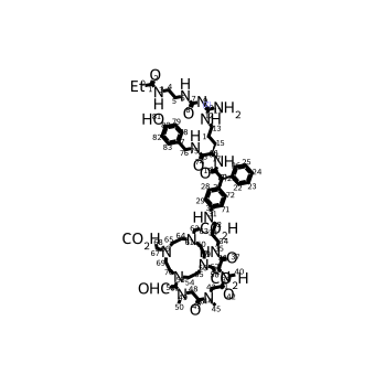 CCC(=O)NCCNC(=O)/N=C(/N)NCCC[C@@H](NC(=O)[C@@H](c1ccccc1)c1ccc(NCCCNC(=O)CN(C)C(=O)CN(C)C(=O)CN(C)C(C=O)N2CCN(CC(=O)O)CCN(CC(=O)O)CCN(CC(=O)O)CC2)cc1)C(=O)NCc1ccc(O)cc1